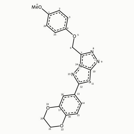 COc1ccc(OCc2nnc3sc(-c4ccc5c(c4)OCCO5)nn23)cc1